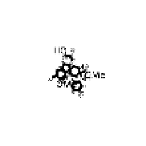 COC(=O)C1(Nc2cccc(Cl)c2)CCC2(CC1)c1cc(OC)c(C)cc1C[C@@H]2C[C@@H](C)CO